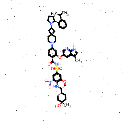 Cc1c[nH]c2ncc(Oc3cc(N4CCC5(CC4)CC(N4CCC[C@H]4c4ccccc4C(C)C)C5)ccc3C(=O)NS(=O)(=O)c3cc4c(c([N+](=O)[O-])c3)N[C@@H]([C@H]3CC[C@](C)(O)CC3)CO4)cc12